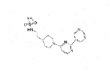 NS(=O)(=O)NCCC1CCN(c2ccnc(-c3cccnc3)n2)CC1